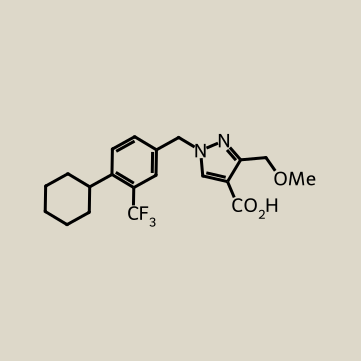 COCc1nn(Cc2ccc(C3CCCCC3)c(C(F)(F)F)c2)cc1C(=O)O